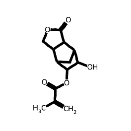 C=C(C)C(=O)OC1C(O)C2CC1C1COC(=O)C21